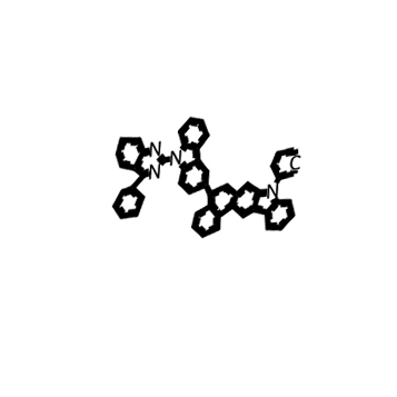 c1ccc(-c2nc(-n3c4ccccc4c4cc(-c5cc6cc7c(cc6c6ccccc56)c5ccccc5n7-c5ccccc5)ccc43)nc3ccccc23)cc1